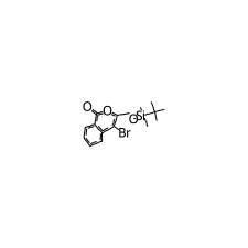 CC(C)(C)[Si](C)(C)OCc1oc(=O)c2ccccc2c1Br